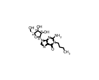 CCCCn1c(N)nc2c(ncn2[C@@H]2O[C@H](CO)[C@@H](O)[C@H]2O)c1=O